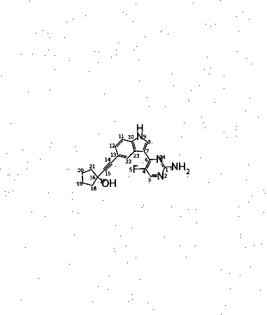 Nc1ncc(F)c(-c2c[nH]c3ccc(C#CC4(O)CCCC4)cc23)n1